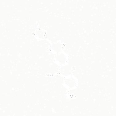 CCCCN(c1ccc2ncc(-c3cnn(C)c3)nc2c1)c1cc(OC)ccc1Cl